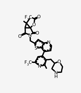 Cc1nc(C(F)(F)F)cc(-c2ccnc3cc(CN4C(=O)C5C(C)(C)C5(OC(=O)C(F)(F)F)C4=O)sc23)c1CC1CNCCO1